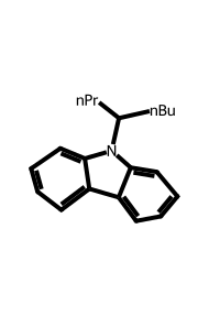 CCCCC(CCC)n1c2ccccc2c2ccccc21